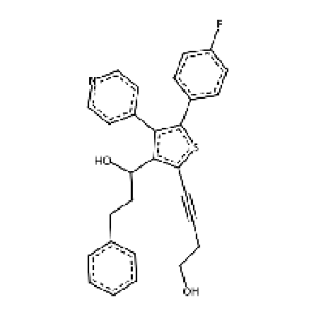 OCCC#Cc1sc(-c2ccc(F)cc2)c(-c2ccncc2)c1C(O)CCc1ccccc1